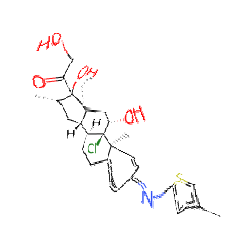 Cc1csc(/N=C2\C=C[C@@]3(C)C(=C2)CC[C@H]2[C@@H]4C[C@H](C)[C@](O)(C(=O)CO)[C@@]4(C)C[C@H](O)[C@@]23Cl)c1